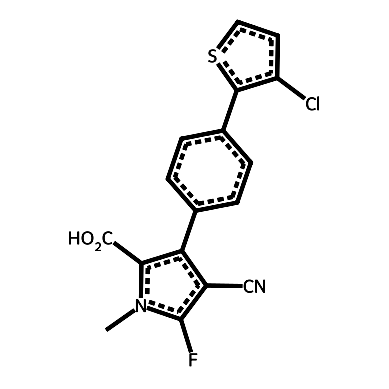 Cn1c(F)c(C#N)c(-c2ccc(-c3sccc3Cl)cc2)c1C(=O)O